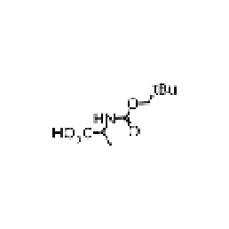 C[C@H](NC(=O)OCC(C)(C)C)C(=O)O